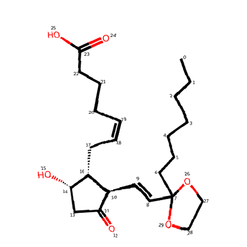 CCCCCCCC1(/C=C/[C@H]2C(=O)C[C@H](O)[C@@H]2C/C=C\CCCC(=O)O)OCCO1